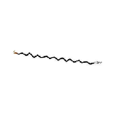 CCCCCCCCCCCCCCCCCCCCCCCCCCCCC[S]